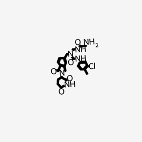 Cc1ccc(NC(=O)N(CNC(=O)CN)Cc2ccc3c(c2)CN(C2CCC(=O)NC2=O)C3=O)cc1Cl